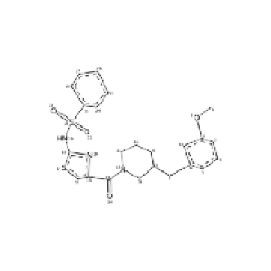 COc1cccc(CC2CCCN(C(=O)c3csc(NS(=O)(=O)c4ccccc4)n3)C2)c1